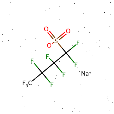 O=S(=O)([O-])C(F)(F)C(F)(F)C(F)(F)C(F)(F)F.[Na+]